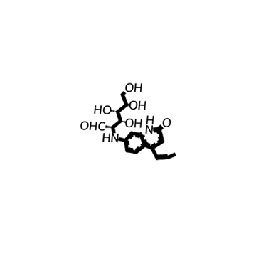 C/C=C\c1cc(=O)[nH]c2cc(N[C@@H](C=O)[C@@H](O)[C@H](O)[C@H](O)CO)ccc12